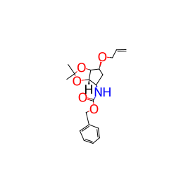 C=CCO[C@H]1C[C@@H](NC(=O)OCc2ccccc2)[C@@H]2OC(C)(C)OC12